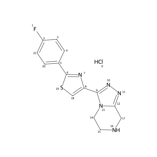 Cl.Fc1ccc(-c2nc(-c3nnc4n3CCNC4)cs2)cc1